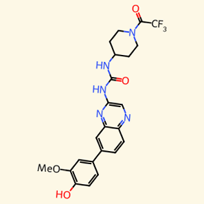 COc1cc(-c2ccc3ncc(NC(=O)NC4CCN(C(=O)C(F)(F)F)CC4)nc3c2)ccc1O